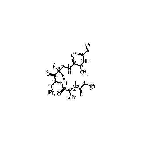 CC(C)CC(=O)NC(C)C(=O)NCC(F)(F)C(=O)C(CC(C)C)NC(=O)C(NC(=O)CC(C)C)C(C)C